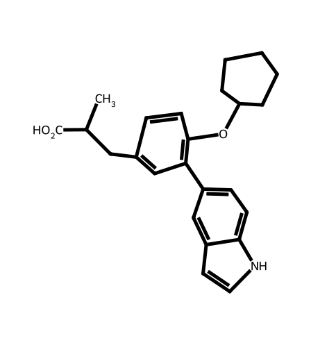 CC(Cc1ccc(OC2CCCCC2)c(-c2ccc3[nH]ccc3c2)c1)C(=O)O